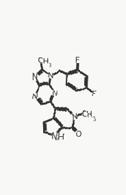 Cc1nc2ncc(-c3cn(C)c(=O)c4[nH]ccc34)nc2n1Cc1ccc(F)cc1F